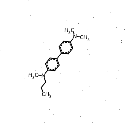 CCCN(C)c1ccc(-c2ccc(N(C)C)cc2)cc1